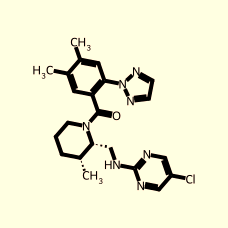 Cc1cc(C(=O)N2CCC[C@@H](C)[C@H]2CNc2ncc(Cl)cn2)c(-n2nccn2)cc1C